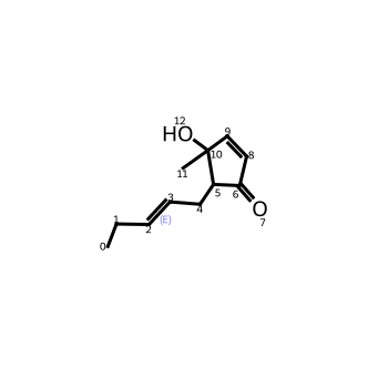 CC/C=C/CC1C(=O)C=CC1(C)O